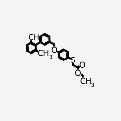 CCOC(=O)CSc1ccc(OCc2cccc(-c3c(C)cccc3C)c2)cc1